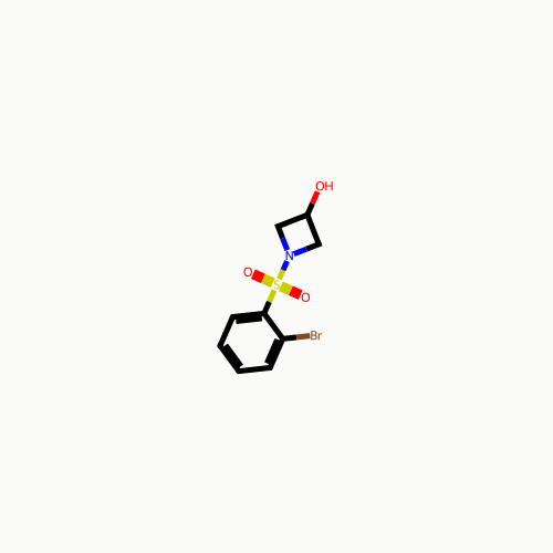 O=S(=O)(c1ccccc1Br)N1CC(O)C1